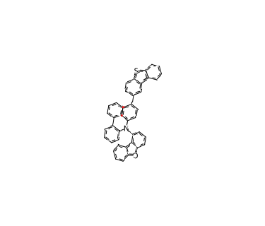 c1ccc(-c2ccccc2N(c2ccc(-c3ccc4sc5ccccc5c4c3)cc2)c2cccc3oc4ccccc4c23)cc1